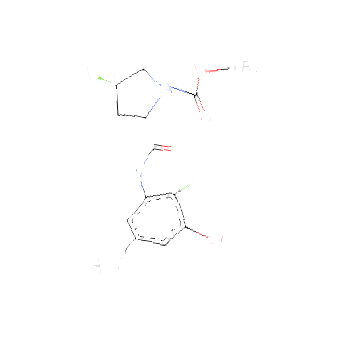 CC(C)(C)OC(=O)N1C[C@H](F)C[C@H]1C(=O)Nc1cc(C(=O)O)cc(Br)c1F